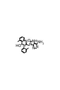 Cc1ccccc1N1C(Cn2c(=O)[nH]c3c(N)ncnc32)=Nc2cccc(C)c2C1O